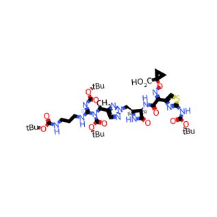 CC(c1cnn(C[C@@H]2NC(=O)[C@H]2NC(=O)C(=NOC2(C(=O)O)CC2)c2csc(NC(=O)OC(C)(C)C)n2)n1)N(C(=O)OC(C)(C)C)/C(=N\C(=O)OC(C)(C)C)NCCCNC(=O)OC(C)(C)C